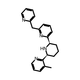 Cc1cccnc1[C@@H]1CCC[C@H](c2cccc(Cc3ccccn3)n2)N1